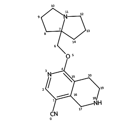 N#Cc1cnc(OCC23CCCN2CCC3)c2c1CNCC2